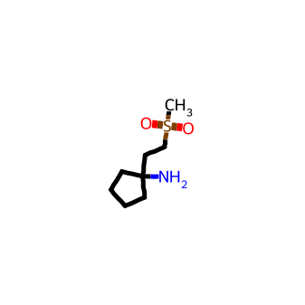 CS(=O)(=O)CCC1(N)CCCC1